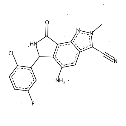 Cn1nc2c3c(c(N)cc2c1C#N)C(c1cc(F)ccc1Cl)NC3=O